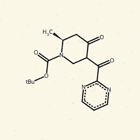 C[C@H]1CC(=O)C(C(=O)c2ncccn2)CN1C(=O)OC(C)(C)C